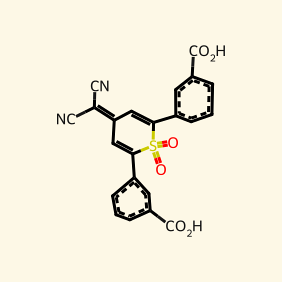 N#CC(C#N)=C1C=C(c2cccc(C(=O)O)c2)S(=O)(=O)C(c2cccc(C(=O)O)c2)=C1